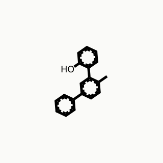 Cc1ccc(-c2ccccc2)cc1-c1ccccc1O